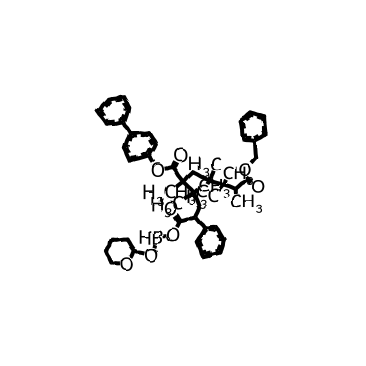 CC(C(=O)OCc1ccccc1)C(C)(C)C(C)(C)CC(C)(C(=O)Oc1ccc(-c2ccccc2)cc1)C(C)(C)CC(C(=O)OBOC1CCCCO1)c1ccccc1